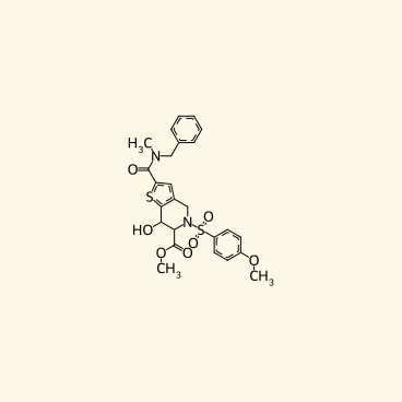 COC(=O)C1C(O)c2sc(C(=O)N(C)Cc3ccccc3)cc2CN1S(=O)(=O)c1ccc(OC)cc1